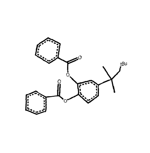 CC(C)(C)CC(C)(C)c1ccc(OC(=O)c2ccccc2)c(OC(=O)c2ccccc2)c1